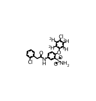 [2H]c1c([2H])c(Oc2ccc(NC(=O)Cc3ccccc3Cl)cc2S(N)(=O)=O)c([2H])c([2H])c1Cl